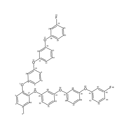 Cc1ccc(Oc2cccc(Oc3cccc(Oc4cccc(F)c4)c3)c2)c(Oc2cccc(Oc3cccc(Oc4cccc(F)c4)c3)c2)c1